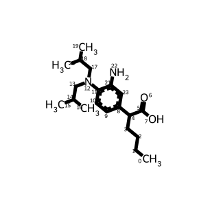 CCCCC(C(=O)O)c1ccc(N(CC(C)C)CC(C)C)c(N)c1